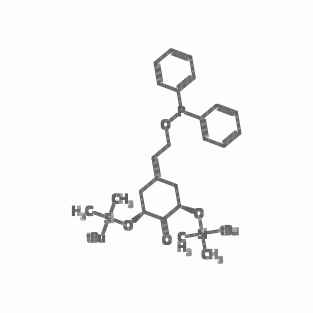 CC(C)(C)[Si](C)(C)O[C@H]1C/C(=C/COP(c2ccccc2)c2ccccc2)C[C@@H](O[Si](C)(C)C(C)(C)C)C1=O